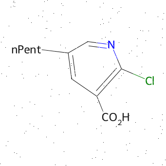 CCCCCc1cnc(Cl)c(C(=O)O)c1